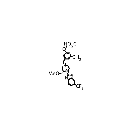 COC[C@@H]1CN(Cc2cc(C)cc(OCC(=O)O)c2)CCN1c1nc2ccc(C(F)(F)F)cc2s1